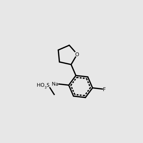 CS(=O)(=O)O.Fc1cc[c]([Na])c(C2CCCO2)c1